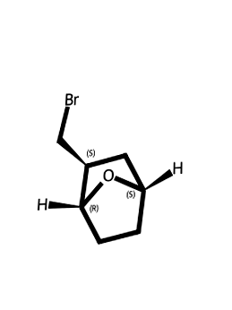 BrC[C@H]1C[C@@H]2CC[C@H]1O2